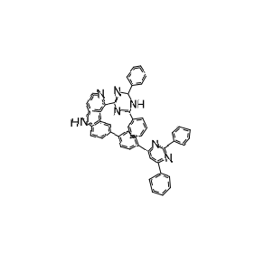 c1ccc(C2=NC(c3nccc4[nH]c5ccc(-c6ccc(-c7cc(-c8ccccc8)nc(-c8ccccc8)n7)cc6)cc5c34)=NC(c3ccccc3)N2)cc1